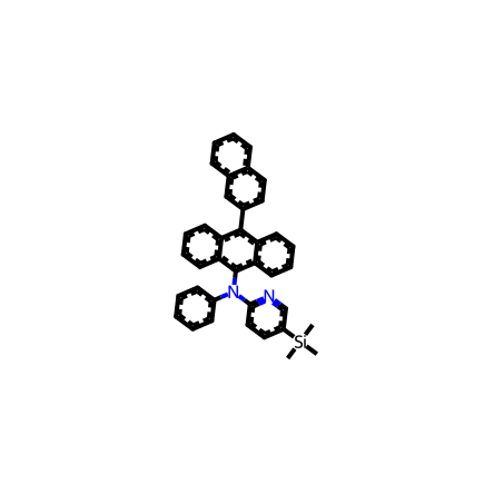 C[Si](C)(C)c1ccc(N(c2ccccc2)c2c3ccccc3c(-c3ccc4ccccc4c3)c3ccccc23)nc1